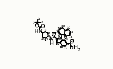 CC(C)(C)OC(=O)N[C@H]1CC[C@H](NC(=O)c2cc3ccc(C(N)=O)cc3n2-c2cccc3ccccc23)CC1